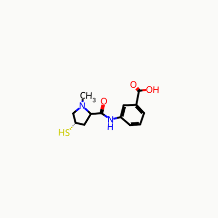 CN1C[C@@H](S)CC1C(=O)Nc1cccc(C(=O)O)c1